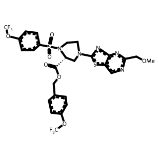 COCc1ncc2sc(N3CCN(S(=O)(=O)c4ccc(OC(F)(F)F)cc4)[C@@H](C(=O)OCc4ccc(OC(F)(F)F)cc4)C3)nc2n1